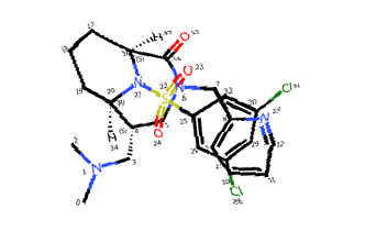 CN(C)C[C@H]1CN(Cc2ccccn2)C(=O)[C@@H]2CCC[C@H]1N2S(=O)(=O)c1cc(Cl)cc(Cl)c1